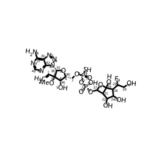 C=C[C@@]1(OC)[C@H](O)[C@@H](COP(=O)(S)OP(=O)(O)OC2OC3(O)C2C(O)C(O)C3[C@@H](F)CO)O[C@H]1n1nnc2c(N)ncnc21